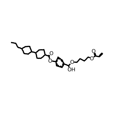 C=CC(=O)OCCCCOC(O)c1ccc(OC(=O)C2CCC(C3CCC(CCC)CC3)CC2)cc1